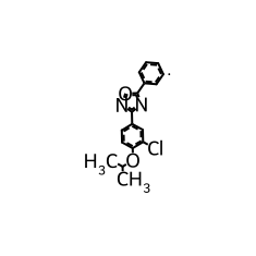 CC(C)Oc1ccc(-c2noc(-c3c[c]ccc3)n2)cc1Cl